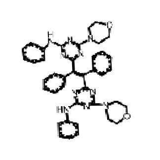 c1ccc(Nc2nc(C(=C(c3ccccc3)c3nc(Nc4ccccc4)nc(N4CCOCC4)n3)c3ccccc3)nc(N3CCOCC3)n2)cc1